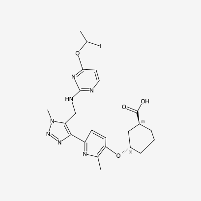 Cc1nc(-c2nnn(C)c2CNc2nccc(OC(C)I)n2)ccc1O[C@H]1CCC[C@H](C(=O)O)C1